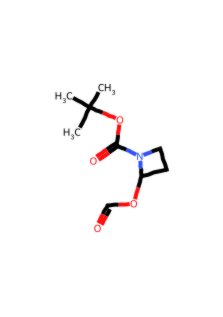 CC(C)(C)OC(=O)N1CCC1OC=O